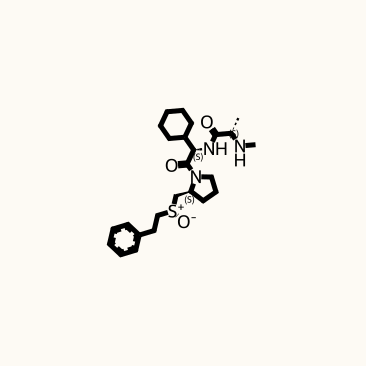 CN[C@@H](C)C(=O)N[C@H](C(=O)N1CCC[C@H]1C[S+]([O-])CCc1ccccc1)C1CCCCC1